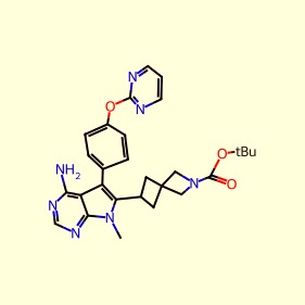 Cn1c(C2CC3(C2)CN(C(=O)OC(C)(C)C)C3)c(-c2ccc(Oc3ncccn3)cc2)c2c(N)ncnc21